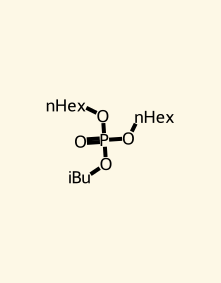 CCCCCCOP(=O)(OCCCCCC)OC(C)CC